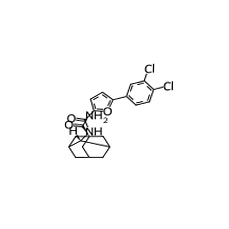 NC(=O)[C@]12CC3CC(C1)[C@@H](NC(=O)c1ccc(-c4ccc(Cl)c(Cl)c4)o1)C(C3)C2